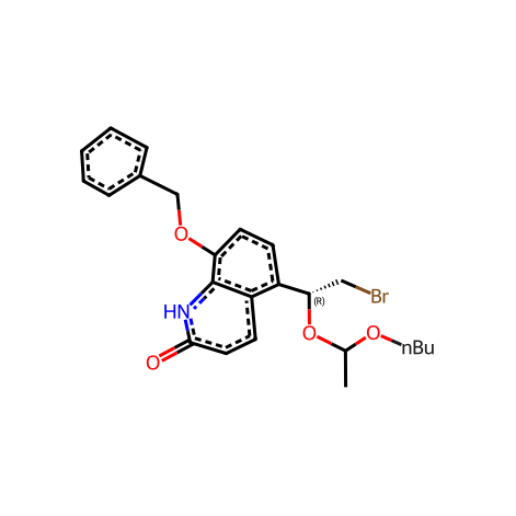 CCCCOC(C)O[C@@H](CBr)c1ccc(OCc2ccccc2)c2[nH]c(=O)ccc12